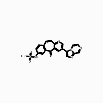 CS(=O)(=O)Nc1ccc2ccc3ncc(-c4cnc5cnccn45)cc3c(=O)c2c1